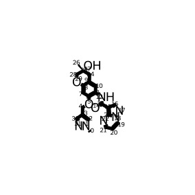 Cn1cc(COc2cc3c(cc2NC(=O)c2cnn4cccnc24)C[C@@](C)(O)CO3)cn1